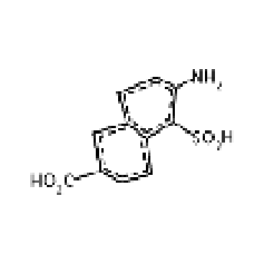 Nc1ccc2cc(C(=O)O)ccc2c1S(=O)(=O)O